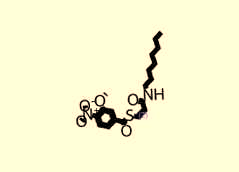 CCCCCCCCNC(=O)/C=C\SC(=O)c1ccc([N+](=O)[O-])c(OC)c1